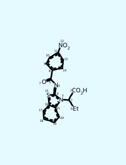 CCC(C(=O)O)n1c(=NC(=O)c2ccc([N+](=O)[O-])cc2)sc2ccccc21